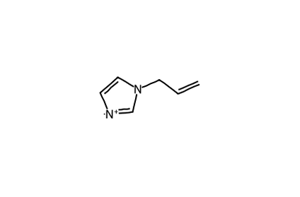 C=CCN1C=C[N+]=C1